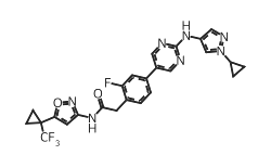 O=C(Cc1ccc(-c2cnc(Nc3cnn(C4CC4)c3)nc2)cc1F)Nc1cc(C2(C(F)(F)F)CC2)on1